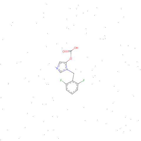 O=C(O)Oc1cncn1Cc1c(F)cccc1F